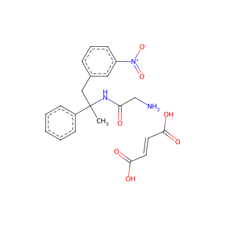 CC(Cc1cccc([N+](=O)[O-])c1)(NC(=O)CN)c1ccccc1.O=C(O)C=CC(=O)O